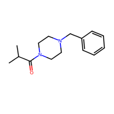 CC(C)C(=O)N1CCN(Cc2ccccc2)CC1